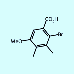 COc1cc(C(=O)O)c(Br)c(C)c1C